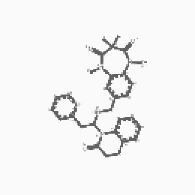 CCN1C(=O)C(C)(C)C(=O)N(C)c2cc(CNC(Cc3ccccn3)N3C(=O)CCc4ccccc43)ccc21